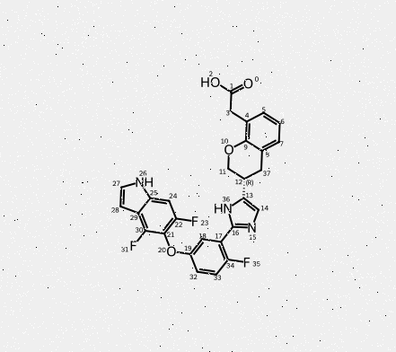 O=C(O)Cc1cccc2c1OC[C@@H](c1cnc(-c3cc(Oc4c(F)cc5[nH]ccc5c4F)ccc3F)[nH]1)C2